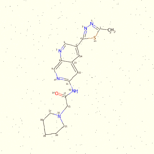 Cc1nnc(-c2cnc3cnc(NC(=O)CN4CCCCC4)cc3c2)s1